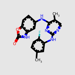 Cc1ccc(F)c(Nc2ncc(C)c(Nc3ccc4oc(=O)[nH]c4c3)n2)c1